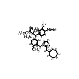 CNc1ccc(C(c2ccc(C)c(Cn3ccnc3CC3CCCCCC3)c2)C(C)(C)C(=O)OC)c(C)c1N